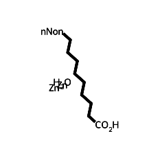 CCCCCCCCCCCCCCCCCC(=O)O.O.[Zn].[Zn]